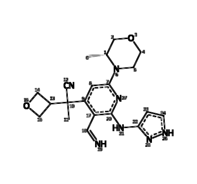 C[C@@H]1COCCN1c1cc(C(C)(C#N)C2COC2)c(C=N)c(Nc2cc[nH]n2)n1